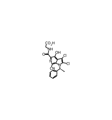 C[C@@H](c1ccccc1)n1c(Cl)c(Cl)c2c(O)c(C(=O)NCC(=O)O)nc(C#N)c21